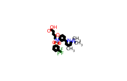 Cc1cc(-c2ccc3c(c2)N(S(=O)(=O)c2cccc(C(F)(F)F)c2)CC(CCC(=O)O)O3)nc(N(C)C)c1